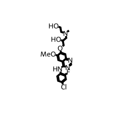 COc1cc2c(Nc3ccc(Cl)cc3F)ncnc2cc1OCC(O)CN(C)CCO